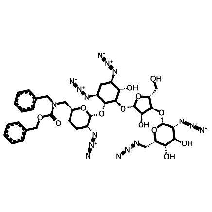 [N-]=[N+]=NC[C@@H]1O[C@H](O[C@H]2[C@@H](O)[C@H](O[C@@H]3[C@@H](O)[C@H](N=[N+]=[N-])C[C@H](N=[N+]=[N-])[C@H]3O[C@H]3O[C@H](CN(Cc4ccccc4)C(=O)OCc4ccccc4)CC[C@H]3N=[N+]=[N-])O[C@@H]2CO)[C@H](N=[N+]=[N-])[C@@H](O)[C@@H]1O